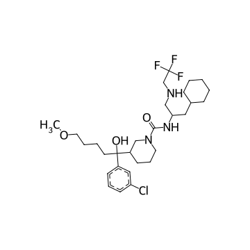 COCCCCC(O)(c1cccc(Cl)c1)C1CCCN(C(=O)NC(CNCC(F)(F)F)CC2CCCCC2)C1